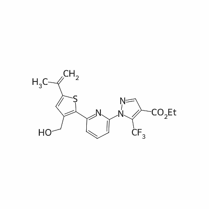 C=C(C)c1cc(CO)c(-c2cccc(-n3ncc(C(=O)OCC)c3C(F)(F)F)n2)s1